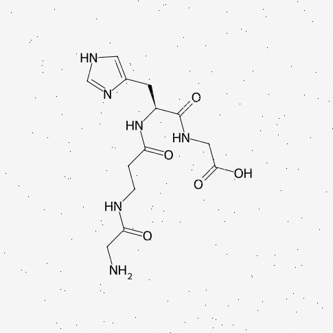 NCC(=O)NCCC(=O)N[C@@H](Cc1c[nH]cn1)C(=O)NCC(=O)O